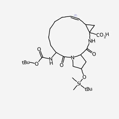 CC(C)(C)OC(=O)NC1CCCCC/C=C\C2CC2(C(=O)O)NC(=O)C2CC(O[Si](C)(C)C(C)(C)C)CN2C1=O